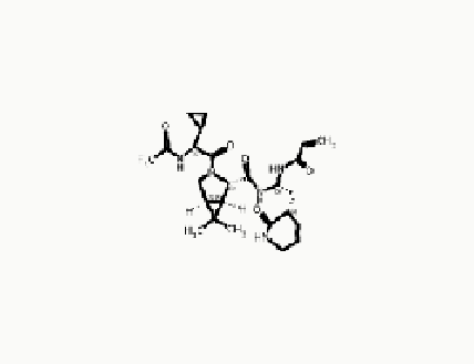 C=CC(=O)N[C@H](C[C@@H]1CCCNC1=O)NC(=O)[C@@H]1[C@@H]2[C@H](CN1C(=O)[C@@H](NC(=O)C(F)(F)F)C1CC1)C2(C)C